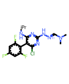 CC(C)Nc1nc(N/N=C/N(C)C)nc(Cl)c1-c1c(F)cc(F)cc1F